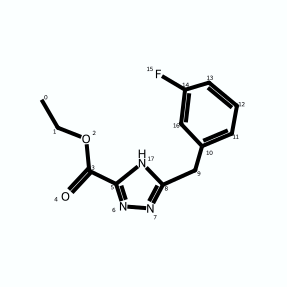 CCOC(=O)c1nnc(Cc2cccc(F)c2)[nH]1